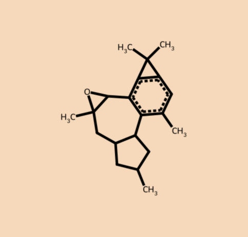 Cc1cc2c(c3c1C1CC(C)CC1CC1(C)OC31)C2(C)C